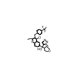 CCc1nc2ccc(C(O)(c3cnnn3C)C3CCOCC3)cc2c(Cl)c1Cc1ccc(C(F)(F)F)cc1